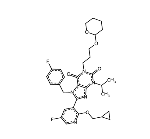 CC(C)n1c(=O)n(CCCOC2CCCCO2)c(=O)c2c1nc(-c1cc(F)cnc1OCC1CC1)n2Cc1ccc(F)cc1